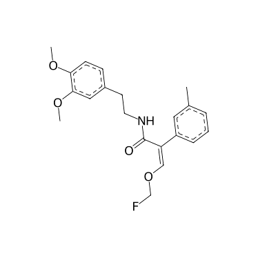 COc1ccc(CCNC(=O)/C(=C\OCF)c2cccc(C)c2)cc1OC